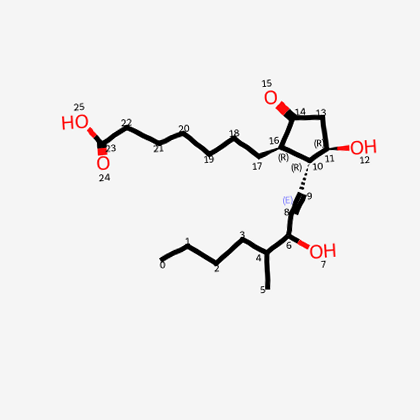 CCCCC(C)C(O)/C=C/[C@H]1[C@H](O)CC(=O)[C@@H]1CCCCCCC(=O)O